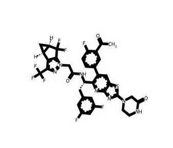 CC(=O)c1cc(-c2cc3sc(N4CCNC(=O)C4)nc3nc2[C@H](Cc2cc(F)cc(F)c2)NC(=O)Cn2nc(C(F)(F)F)c3c2C(F)(F)[C@@H]2C[C@H]32)ccc1F